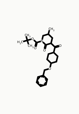 CC1CC(C(=O)C2CCC(OCc3ccccc3)CC2)C(=O)N(C(=O)OC(C)(C)C)C1